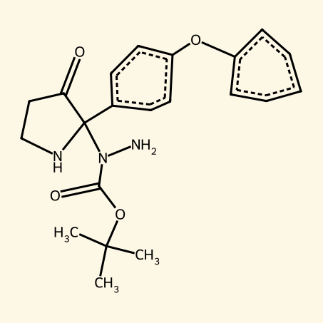 CC(C)(C)OC(=O)N(N)C1(c2ccc(Oc3ccccc3)cc2)NCCC1=O